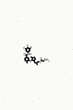 Cc1ccc(C(=O)Nc2cc(F)c(F)c(F)c2)cc1SC1C(C)CCC1CC(C)COC(=O)CN